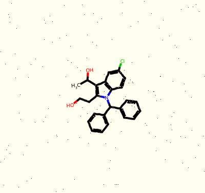 C[C](O)c1c(CCO)n(C(c2ccccc2)c2ccccc2)c2ccc(Cl)cc12